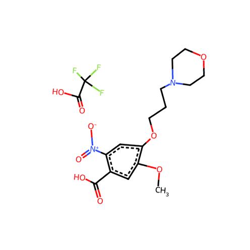 COc1cc(C(=O)O)c([N+](=O)[O-])cc1OCCCN1CCOCC1.O=C(O)C(F)(F)F